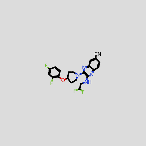 N#Cc1ccc2nc(NCC(F)F)c(N3CCC(Oc4ccc(F)cc4F)CC3)nc2c1